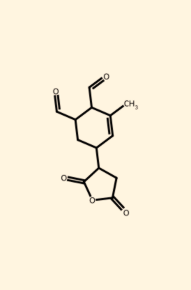 CC1=CC(C2CC(=O)OC2=O)CC(C=O)C1C=O